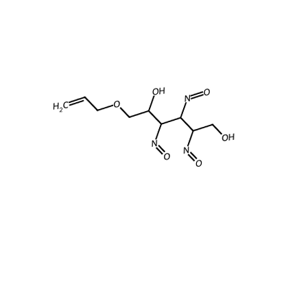 C=CCOCC(O)C(N=O)C(N=O)C(CO)N=O